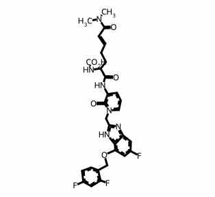 CN(C)C(=O)C=CCCC(NC(=O)O)C(=O)Nc1cccn(Cc2nc3cc(F)cc(OCc4ccc(F)cc4F)c3[nH]2)c1=O